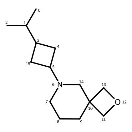 CC(C)C1CC(N2CCCC3(COC3)C2)C1